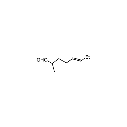 CC/C=C/CCC(C)C=O